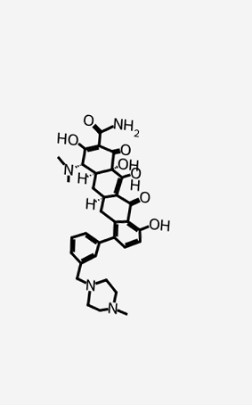 CN1CCN(Cc2cccc(-c3ccc(O)c4c3C[C@H]3C[C@H]5[C@H](N(C)C)C(O)=C(C(N)=O)C(=O)[C@@]5(O)C(O)=C3C4=O)c2)CC1